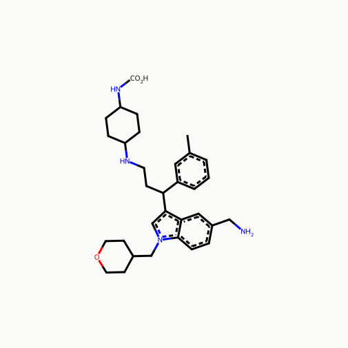 Cc1cccc(C(CCNC2CCC(NC(=O)O)CC2)c2cn(CC3CCOCC3)c3ccc(CN)cc23)c1